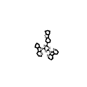 c1ccc2c(c1)sc1cc(-c3nc(-n4c5ccccc5c5cccnc54)nc(-n4c5ncccc5c5cccnc54)n3)ccc12